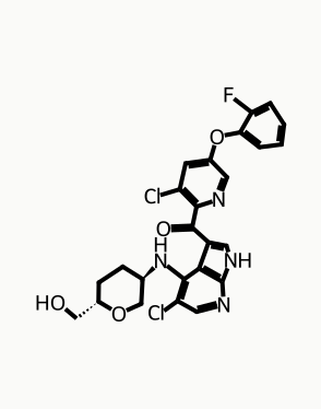 O=C(c1ncc(Oc2ccccc2F)cc1Cl)c1c[nH]c2ncc(Cl)c(N[C@@H]3CC[C@@H](CO)OC3)c12